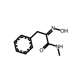 CNC(=O)/C(Cc1ccccc1)=N\O